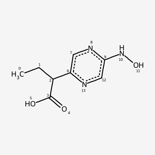 CCC(C(=O)O)c1cnc(NO)cn1